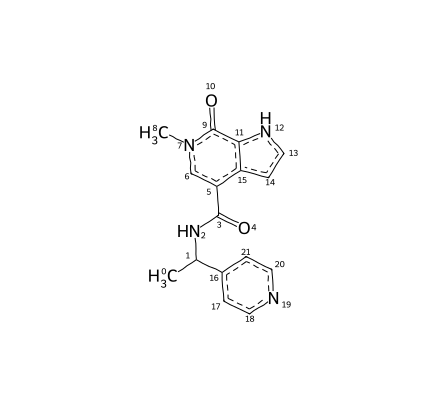 CC(NC(=O)c1cn(C)c(=O)c2[nH]ccc12)c1ccncc1